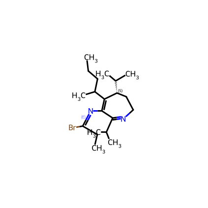 CCCC(C)C1=C(/N=C(/Br)CC)C(C(C)C)=NCC[C@H]1C(C)C